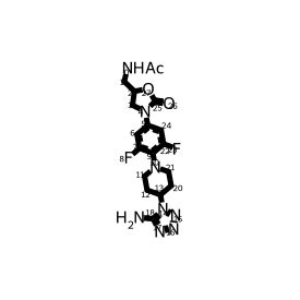 CC(=O)NCC1CN(c2cc(F)c(N3CCC(n4nnnc4N)CC3)c(F)c2)C(=O)O1